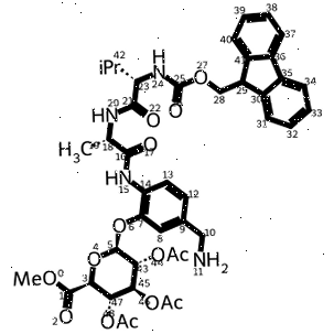 COC(=O)[C@H]1O[C@@H](Oc2cc(CN)ccc2NC(=O)[C@H](C)NC(=O)[C@@H](NC(=O)OCC2c3ccccc3-c3ccccc32)C(C)C)[C@H](OC(C)=O)[C@@H](OC(C)=O)[C@@H]1OC(C)=O